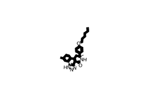 CCCCCCOc1ccc([C@]2(C)CC(c3ccc(C)cc3)=C(c3nn[nH]n3)C(=O)N2)cc1